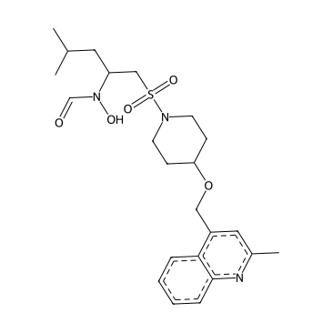 Cc1cc(COC2CCN(S(=O)(=O)CC(CC(C)C)N(O)C=O)CC2)c2ccccc2n1